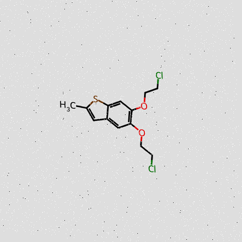 Cc1cc2cc(OCCCl)c(OCCCl)cc2s1